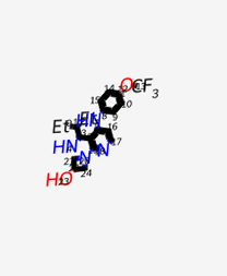 CCC(CC)C(=N)c1c(Nc2ccc(OC(F)(F)F)cc2)ccnc1N1CC(O)C1